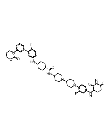 O=C1CCC(Nc2ccc(N3CCC(N4CCC(NC(=O)[C@H]5CC[C@H](Nc6ncc(F)c(-c7cccc(N8CCCOC8=O)c7)n6)CC5)CC4)CC3)c(F)c2)C(=O)N1